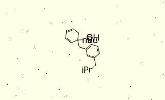 CCCCC1(Cc2cc(CC(C)C)ccc2O)C=CC=CC1